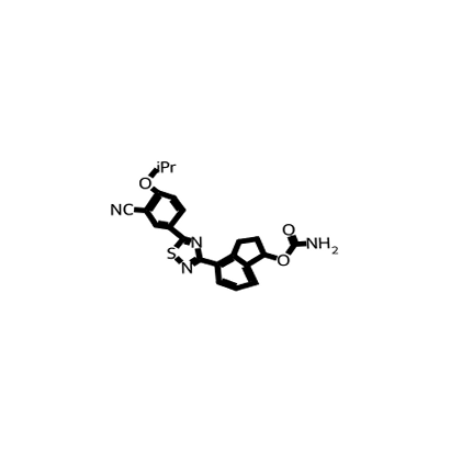 CC(C)Oc1ccc(-c2nc(-c3cccc4c3CCC4OC(N)=O)ns2)cc1C#N